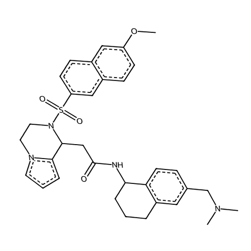 COc1ccc2cc(S(=O)(=O)N3CCn4cccc4C3CC(=O)NC3CCCc4cc(CN(C)C)ccc43)ccc2c1